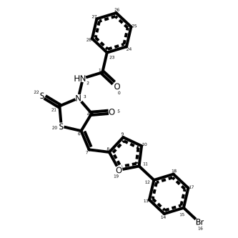 O=C(NN1C(=O)/C(=C\c2ccc(-c3ccc(Br)cc3)o2)SC1=S)c1ccccc1